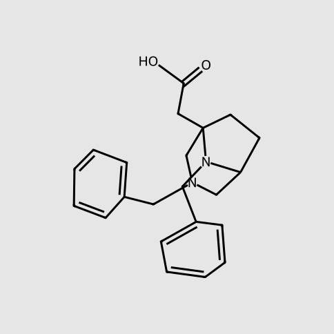 O=C(O)CC12CCC(CN(Cc3ccccc3)C1)N2Cc1ccccc1